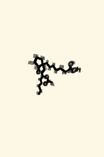 CCCCCC(C=CC1(CCCCCCC(=O)O)CCCC1=O)OC(C)=O